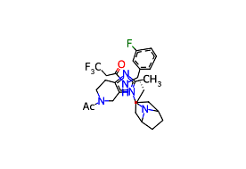 CC(=O)N1CCc2nc(C)n(C3CC4CCC(C3)N4CC[C@H](NC(=O)CC(F)(F)F)c3cccc(F)c3)c2C1